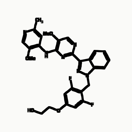 COc1cnc(C)cc1Nc1nc(-c2nn(Cc3c(F)cc(OCCO)cc3F)c3ccccc23)ncc1OC